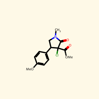 COC(=O)C1(Cl)C(=O)N(C)CC1c1ccc(OC)cc1